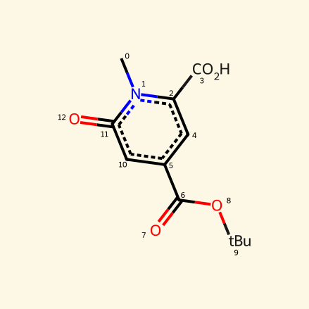 Cn1c(C(=O)O)cc(C(=O)OC(C)(C)C)cc1=O